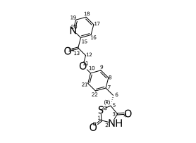 O=C1NC(=O)[C@@H](Cc2ccc(OCC(=O)c3ccccn3)cc2)S1